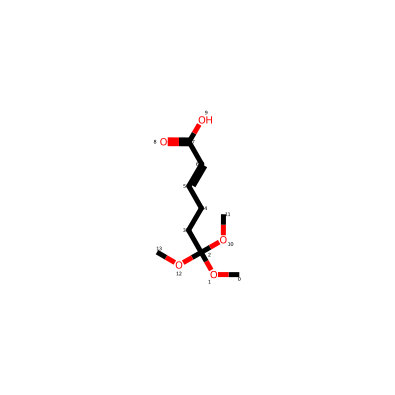 COC(CCC=CC(=O)O)(OC)OC